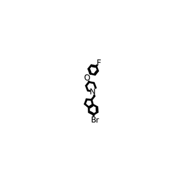 Fc1ccc(OC2CCN(CC3CCc4cc(Br)ccc43)CC2)cc1